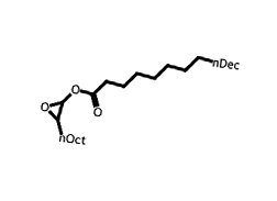 CCCCCCCCCCCCCCCCCC(=O)OC1OC1CCCCCCCC